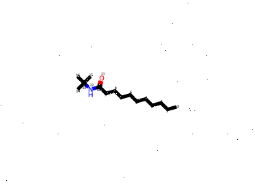 CCCCCCCCCCC(=O)NC(C)(C)C